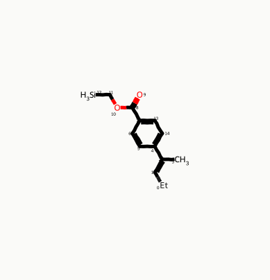 CC/C=C(\C)c1ccc(C(=O)OC[SiH3])cc1